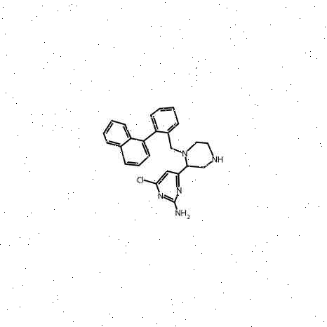 Nc1nc(Cl)cc(C2CNCCN2Cc2ccccc2-c2cccc3ccccc23)n1